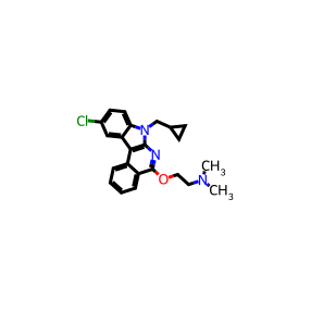 CN(C)CCOc1nc2c(c3ccccc13)c1cc(Cl)ccc1n2CC1CC1